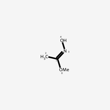 [CH2]O/C(C)=N/O